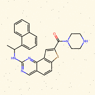 CC(Nc1ncc2ccc3sc(C(=O)N4CCNCC4)cc3c2n1)c1cccc2ccccc12